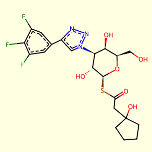 O=C(CC1(O)CCCC1)S[C@@H]1O[C@H](CO)[C@H](O)[C@H](n2cc(-c3cc(F)c(F)c(F)c3)nn2)[C@H]1O